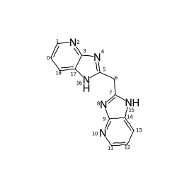 c1cnc2nc(Cc3nc4ncccc4[nH]3)[nH]c2c1